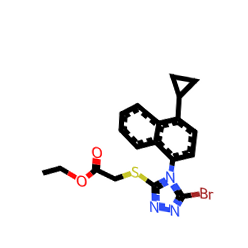 CCOC(=O)CSc1nnc(Br)n1-c1ccc(C2CC2)c2ccccc12